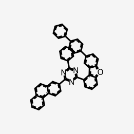 c1ccc(-c2ccc(-c3ccc4oc5cccc(-c6nc(-c7ccccc7)nc(-c7ccc8c(ccc9ccccc98)c7)n6)c5c4c3)cc2)cc1